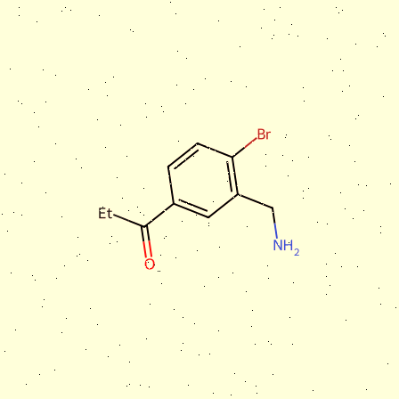 CCC(=O)c1ccc(Br)c(CN)c1